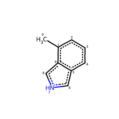 Cc1cccc2c[nH][c]c12